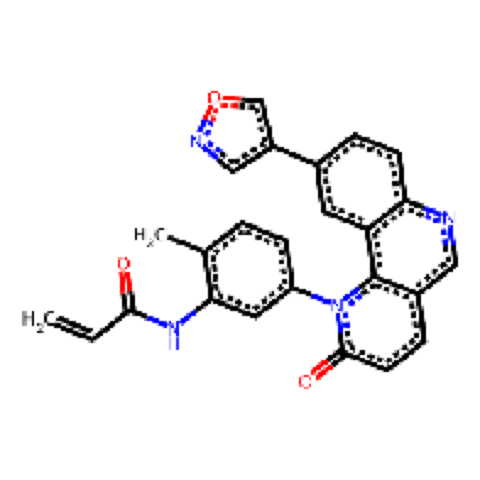 C=CC(=O)Nc1cc(-n2c(=O)ccc3cnc4ccc(-c5cnoc5)cc4c32)ccc1C